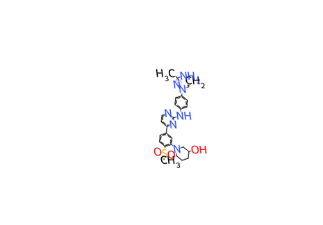 C=CN(/N=C(/C)N)c1ccc(Nc2nccc(-c3ccc(S(C)(=O)=O)c(N4CCCC(O)C4)c3)n2)cc1